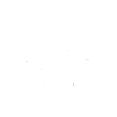 CCCCC(C)(C)C(=O)O.CCCCC(P)(CCCC)CCCC